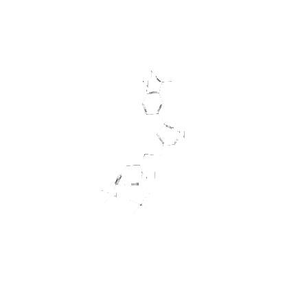 Cc1n[nH]c2ccc(-c3cc(OC[C@H](CC#C[Si](C)(C)C)NC(=O)OC(C)(C)C)cnc3Cl)cc12